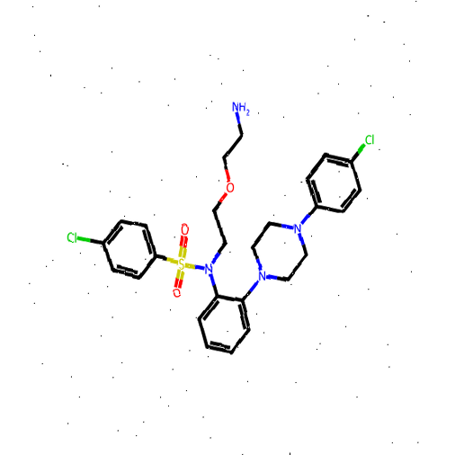 NCCOCCN(c1ccccc1N1CCN(c2ccc(Cl)cc2)CC1)S(=O)(=O)c1ccc(Cl)cc1